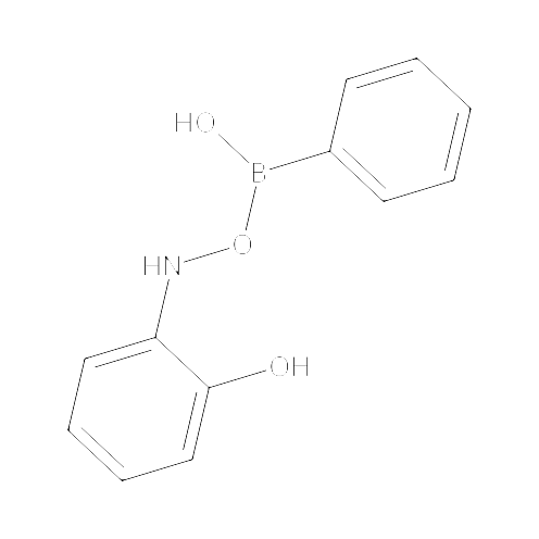 OB(ONc1ccccc1O)c1ccccc1